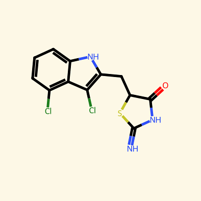 N=C1NC(=O)C(Cc2[nH]c3cccc(Cl)c3c2Cl)S1